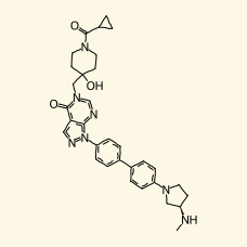 CN[C@@H]1CCN(c2ccc(-c3ccc(-n4ncc5c(=O)n(CC6(O)CCN(C(=O)C7CC7)CC6)cnc54)cc3)cc2)C1